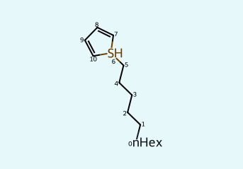 CCCCCCCCCCC[SH]1C=CC=C1